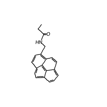 CCC(=O)NCc1ccc2ccc3cccc4ccc1c2c34